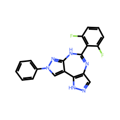 Fc1cccc(F)c1C1=Nc2cn[nH]c2-c2cn(-c3ccccc3)nc2N1